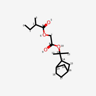 CCC(C)C(=O)OCC(=O)OC(C)(C)C1CC2CCC1C2